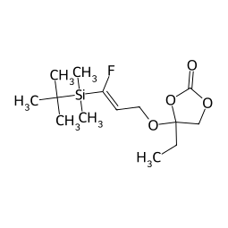 CCC1(OC/C=C(\F)[Si](C)(C)C(C)(C)C)COC(=O)O1